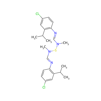 CC(C)c1cc(Cl)ccc1N=CN(C)SN(C)C=Nc1ccc(Cl)cc1C(C)C